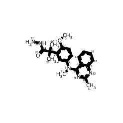 COc1ccc(N(C)c2nc(C)nc3ccccc23)cc1C(C)(C)C(=O)NN